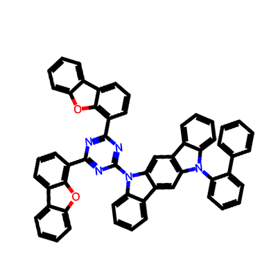 c1ccc(-c2ccccc2-n2c3ccccc3c3cc4c(cc32)c2ccccc2n4-c2nc(-c3cccc4c3oc3ccccc34)nc(-c3cccc4c3oc3ccccc34)n2)cc1